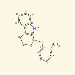 Cc1ccccc1CC1CCCC2=C1[N]c1ccccc12